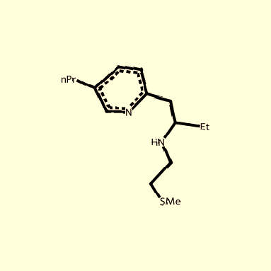 CCCc1ccc(CC(CC)NCCSC)nc1